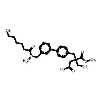 CCCCCCC(=O)N(C)Cc1cccc(-c2ccc(CC(CC)(CC(=O)O)C(=O)OC)cc2)c1